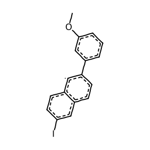 COc1cccc(-c2[c]c3ccc(I)cc3cc2)c1